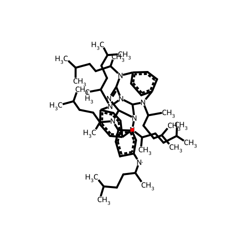 CC(C)CCC(C)[N]c1ccc(N(C(C)CCC(C)C)C2N=C3N(C(C)CCC(C)C)c4ccc(cc4)N(C(C)CCC(C)C)C4N3N(C(C)CCC(C)C)c3ccc(cc3)N(C(C)CCC(C)C)N24)cc1